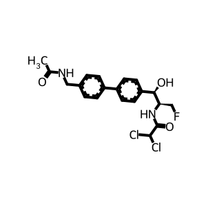 CC(=O)NCc1ccc(-c2ccc([C@@H](O)[C@@H](CF)NC(=O)C(Cl)Cl)cc2)cc1